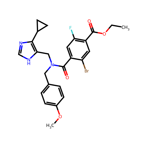 CCOC(=O)c1cc(Br)c(C(=O)N(Cc2ccc(OC)cc2)Cc2[nH]cnc2C2CC2)cc1F